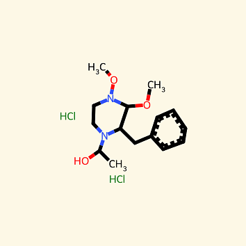 COC1C(Cc2ccccc2)N(C(C)O)CCN1OC.Cl.Cl